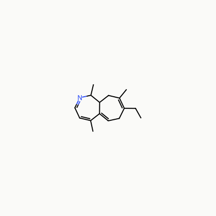 CCC1=C(C)CC2C(=CC1)C(C)=CC=NC2C